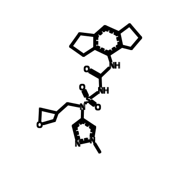 Cn1cc(N(CC2COC2)S(=O)(=O)NC(=O)Nc2c3c(cc4c2CCC4)CCC3)cn1